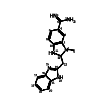 CN1c2cc(C(=N)N)ccc2NC1Cc1nc2ccccc2[nH]1